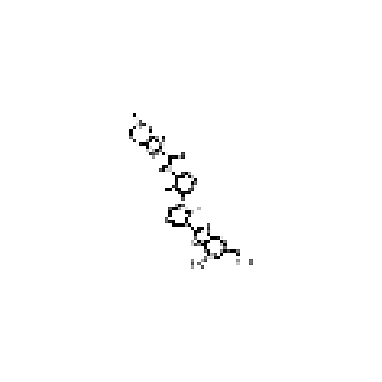 Cc1c(NC(=O)c2nc3c(s2)CN(C)CC3)cccc1-c1cncc(-c2nc3cc(CO)cc(C#N)c3o2)c1C